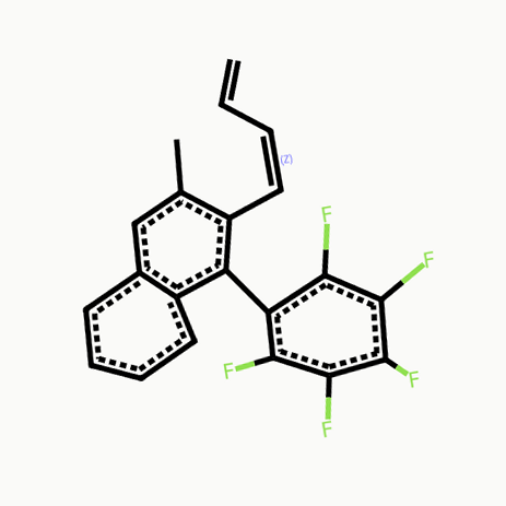 C=C/C=C\c1c(C)cc2ccccc2c1-c1c(F)c(F)c(F)c(F)c1F